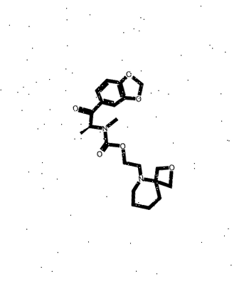 C[C@@H](C(=O)c1ccc2c(c1)OCO2)N(C)C(=O)OCCN1CCCCC12COC2